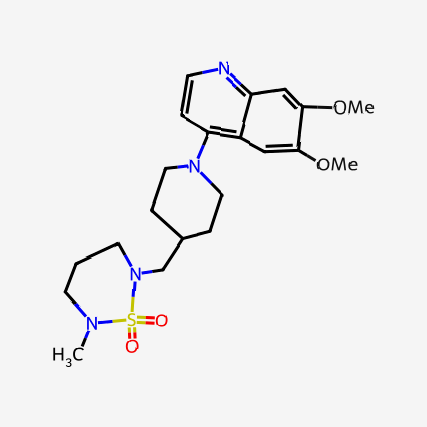 COc1cc2nccc(N3CCC(CN4CCCN(C)S4(=O)=O)CC3)c2cc1OC